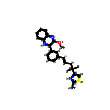 CC(C)Oc1nc2ccccc2nc1-c1cccc(/C=C/CC(C)(C)c2csc(C(C)C)n2)c1